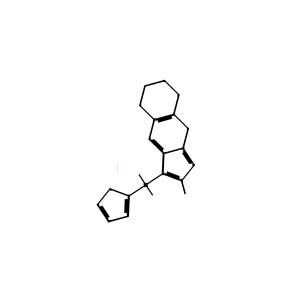 CC1=C(C(C)(C)C2=CC=CC2)C2=CC3=C(CCCC3)CC2=C1